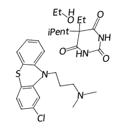 CCCC(C)C1(CC)C(=O)NC(=O)NC1=O.CCO.CN(C)CCCN1c2ccccc2Sc2ccc(Cl)cc21